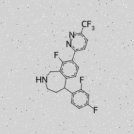 Fc1ccc(C2CCNCc3c2ccc(-c2ccc(C(F)(F)F)nn2)c3F)c(F)c1